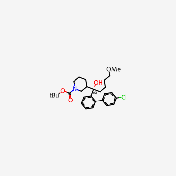 COCCCC[C@@](O)(c1ccccc1-c1ccc(Cl)cc1)C1CCCN(C(=O)OC(C)(C)C)C1